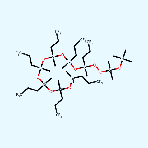 C[SiH](CCC(F)(F)F)O[Si](C)(CCC(F)(F)F)O[Si](C)(CCC(F)(F)F)O[Si](C)(CCC(F)(F)F)O[Si](C)(CCC(F)(F)F)O[Si](C)(CCC(F)(F)F)O[Si](C)(CCC(F)(F)F)OO[Si](C)(C)O[Si](C)(C)C